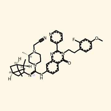 COc1ccc(CCn2c(-c3cccnc3)nc3cc(N/C(=N/C4C[C@H]5C[C@@H]([C@@H]4C)C5(C)C)N4CCN(CC#N)[C@@H](C)C4)ccc3c2=O)c(F)c1